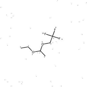 CCOC(C)OCC(F)(F)F